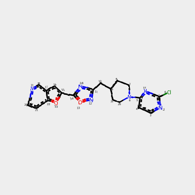 Clc1nccc(N2CCC(Cc3noc(-c4cc5cnccc5o4)n3)CC2)n1